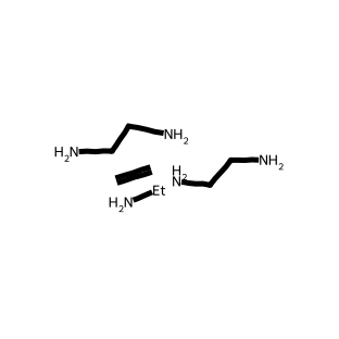 C=C.NCCN.NCCN.[CH2]CN